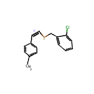 Cc1ccc(/C=C\SCc2ccccc2Cl)cc1